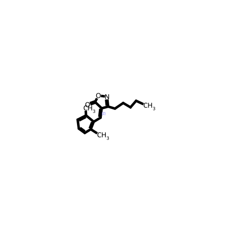 CCCCCC1=NOC(=O)/C1=C\c1c(C)cccc1C